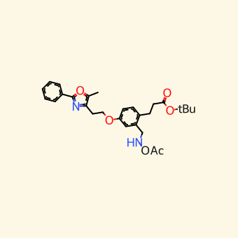 CC(=O)ONCc1cc(OCCc2nc(-c3ccccc3)oc2C)ccc1CCC(=O)OC(C)(C)C